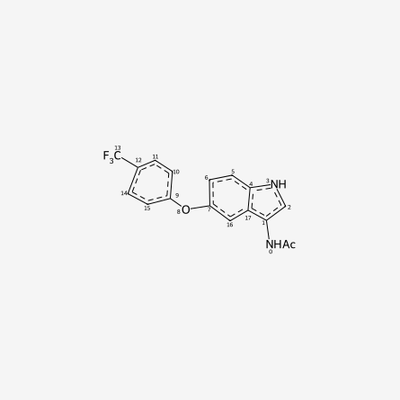 CC(=O)Nc1c[nH]c2ccc(Oc3ccc(C(F)(F)F)cc3)cc12